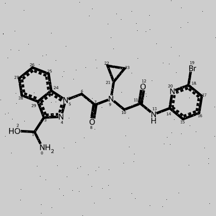 NC(O)c1nn(CC(=O)N(CC(=O)Nc2cccc(Br)n2)C2CC2)c2ccccc12